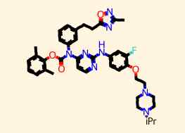 Cc1noc(CCc2cccc(N(C(=O)Oc3c(C)cccc3C)c3ccnc(Nc4ccc(OCCN5CCN(C(C)C)CC5)c(F)c4)n3)c2)n1